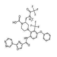 CN(C[C@H]1CN(c2c(NC(=O)c3coc(-c4ccnnc4)n3)ccc(Oc3ccccc3)c2C(F)(F)F)CCN1C(=O)O)C(=O)C(F)(F)F